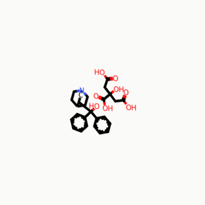 O=C(O)CC(O)(CC(=O)O)C(=O)O.OC(c1ccccc1)(c1ccccc1)C1CN2CCC1CC2